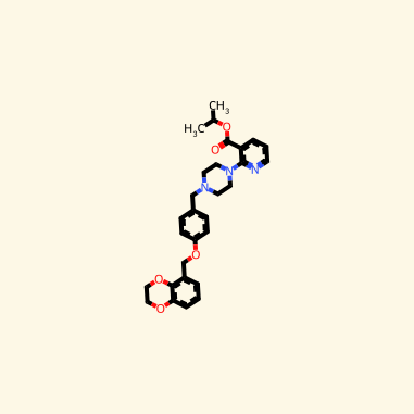 CC(C)OC(=O)c1cccnc1N1CCN(Cc2ccc(OCc3cccc4c3OCCO4)cc2)CC1